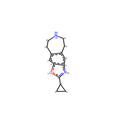 c1c2c(cc3oc(C4CC4)nc13)CCNCC2